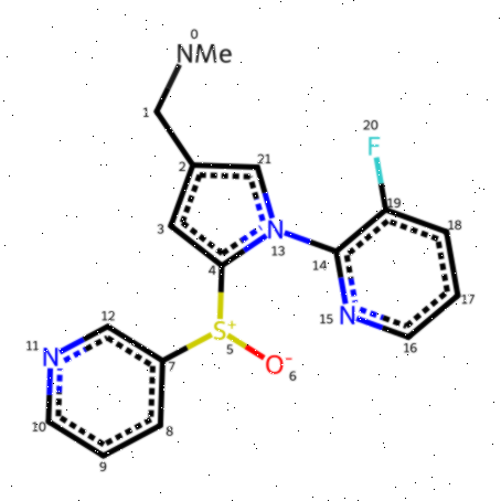 CNCc1cc([S+]([O-])c2cccnc2)n(-c2ncccc2F)c1